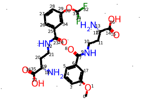 COc1cccc(C(=O)NCC[C@H](N)C(=O)O)c1.N[C@@H](CCNC(=O)c1cccc(OC(F)F)c1)C(=O)O